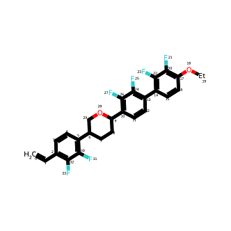 C=Cc1ccc(C2CCC(c3ccc(-c4ccc(OCC)c(F)c4F)c(F)c3F)OC2)c(F)c1F